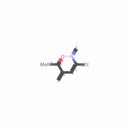 C=N/C(=C\C(=C)C(=O)NC)CC